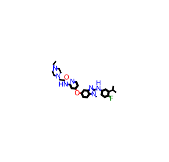 CCN1CCN(CC(=O)Nc2cc(Oc3ccc4c(c3)nc(Nc3ccc(F)c(C(C)C)c3)n4C)ccn2)CC1